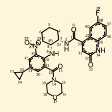 O=C(N[C@H]1CCCC[C@H]1Nc1c(C(=O)N2CCOCC2)cc(C2CC2)cc1[N+](=O)[O-])c1cc(=O)[nH]c2ccc(F)cc12